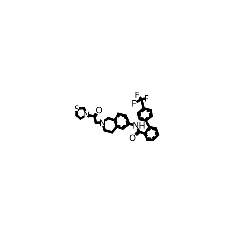 O=C(Nc1ccc2c(c1)CCN(CC(=O)N1CCSC1)C2)c1ccccc1-c1ccc(C(F)(F)F)cc1